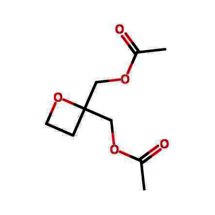 CC(=O)OCC1(COC(C)=O)CCO1